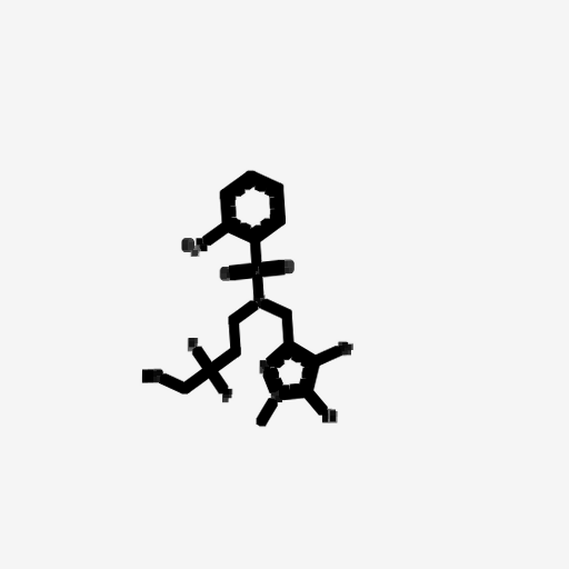 CCc1c(Br)c(CN(CCC(F)(F)CO)S(=O)(=O)c2ccccc2[N+](=O)[O-])nn1C